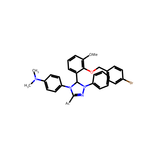 COc1cccc(C2N(c3ccccc3)N=C(C(C)=O)N2c2ccc(N(C)C)cc2)c1OCc1ccc(Br)cc1